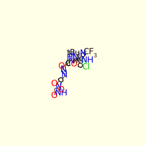 CC(C)(C)C[C@@H]1N[C@@H](C(=O)NC23CCC(C(=O)N4CCN(Cc5ccc6c(c5)CN(C5CCC(=O)NC5=O)C6=O)CC4)(CC2)CC3)[C@H](c2cccc(Cl)c2F)[C@]12CNc1cc(C(F)(F)F)ncc12